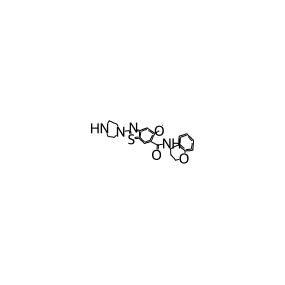 COc1cc2nc(N3CCNCC3)sc2cc1C(=O)N[C@H]1CCOc2ccccc21